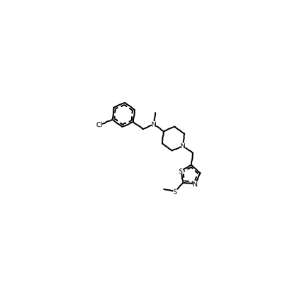 CSc1ncc(CN2CCC(N(C)Cc3cccc(Cl)c3)CC2)s1